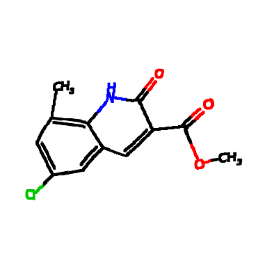 COC(=O)c1cc2cc(Cl)cc(C)c2[nH]c1=O